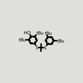 CC(C)(Sc1[c]c(C(C)(C)C)cc(C(C)(C)C)c1)Sc1cc(C(C)(C)C)c(O)c(C(C)(C)C)c1